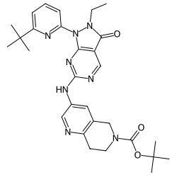 CCn1c(=O)c2cnc(Nc3cnc4c(c3)CN(C(=O)OC(C)(C)C)CC4)nc2n1-c1cccc(C(C)(C)C)n1